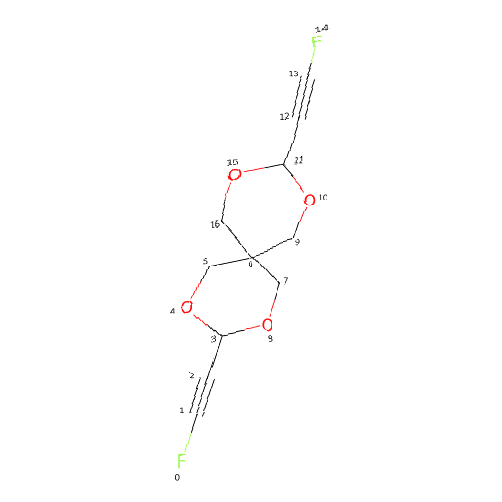 FC#CC1OCC2(CO1)COC(C#CF)OC2